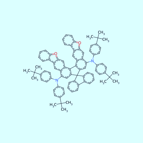 CC(C)(C)c1ccc(N(c2ccc(C(C)(C)C)cc2)c2cc3c(c4cc5oc6ccccc6c5cc24)-c2c(cc(N(c4ccc(C(C)(C)C)cc4)c4ccc(C(C)(C)C)cc4)c4cc5oc6ccccc6c5cc24)C32c3ccccc3-c3ccccc32)cc1